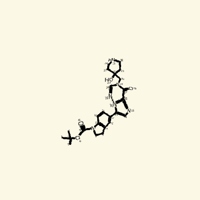 CC(C)(C)OC(=O)N1CCc2cc(-c3cnc4c(=O)n(CC5(O)CCNCC5)cnn34)ccc21